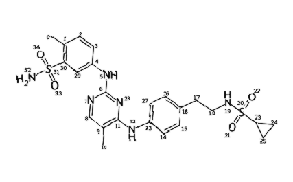 Cc1ccc(Nc2ncc(C)c(Nc3ccc(CCNS(=O)(=O)C4CC4)cc3)n2)cc1S(N)(=O)=O